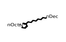 CCCCCCCCCCCCCCCCCCc1ccc[n+](CCCCCCCC)c1